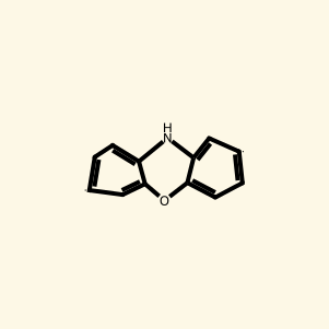 [c]1ccc2c(c1)Nc1cc[c]cc1O2